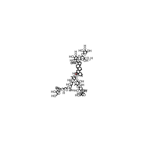 CC[C@H](C)[C@H](C[C@H](O)CC(=O)OC1C(O[C@@H]2OC(C)[C@H](O[C@H]3OCC(O)[C@H](O[C@]4(O)COC[C@]4(O)CO)C3O)C(O)[C@@H]2O)[C@H](OC(=O)[C@]23CCC(C)(C)CC2C2=CCC4[C@@]5(C)CC[C@H](O[C@@H]6OC(O)(C(=O)O)CC(O[C@@H]7OC[C@@H](O)C(O)C7O)C6O[C@@H]6OC(CO)[C@H](O)C(O)C6O)[C@@](C)(C=O)C5CC[C@@]4(C)[C@]2(C)C[C@H]3O)OC(C)[C@H]1O)OC(=O)C[C@@H](O)C[C@H](O[C@@H]1O[C@@H](CO)C(O)C1O)[C@@H](C)CC